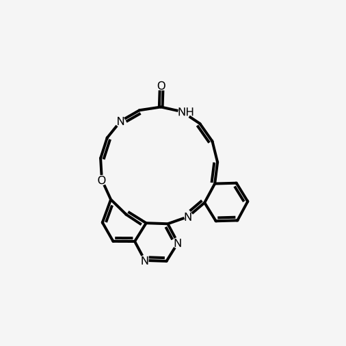 O=c1cnccoc2ccc3ncnc(nc4ccccc4ccc[nH]1)c3c2